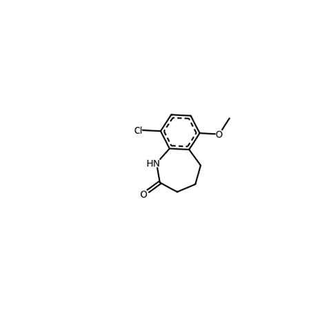 COc1ccc(Cl)c2c1CCCC(=O)N2